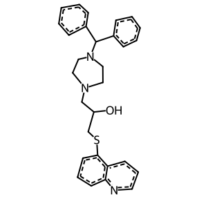 OC(CSc1cccc2ncccc12)CN1CCN(C(c2ccccc2)c2ccccc2)CC1